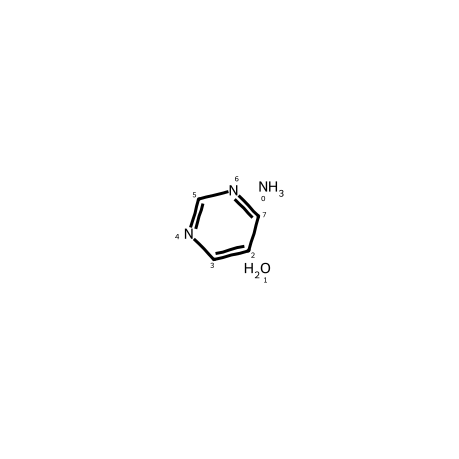 N.O.c1cncnc1